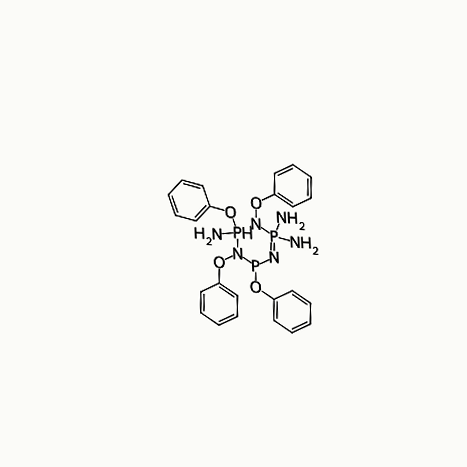 NP1(N)=NP(Oc2ccccc2)N(Oc2ccccc2)[PH](N)(Oc2ccccc2)N1Oc1ccccc1